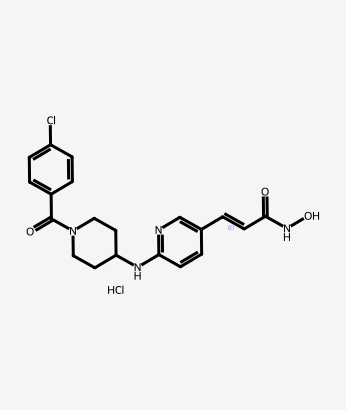 Cl.O=C(/C=C/c1ccc(NC2CCN(C(=O)c3ccc(Cl)cc3)CC2)nc1)NO